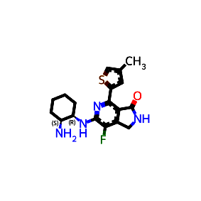 Cc1csc(-c2nc(N[C@@H]3CCCC[C@@H]3N)c(F)c3c2C(=O)NC3)c1